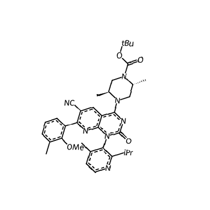 COc1c(C)cccc1-c1nc2c(cc1C#N)c(N1C[C@@H](C)N(C(=O)OC(C)(C)C)C[C@@H]1C)nc(=O)n2-c1c(C)ccnc1C(C)C